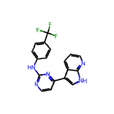 FC(F)(F)c1ccc(Nc2nccc(-c3c[nH]c4ncccc34)n2)cc1